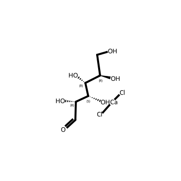 O=C[C@H](O)[C@@H](O)[C@H](O)[C@H](O)CO.[Cl][Ca][Cl]